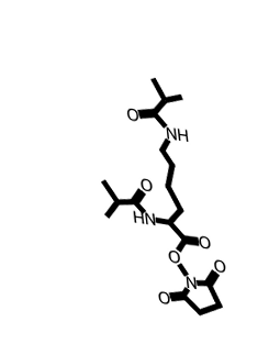 CC(C)C(=O)NCCCCC(NC(=O)C(C)C)C(=O)ON1C(=O)CCC1=O